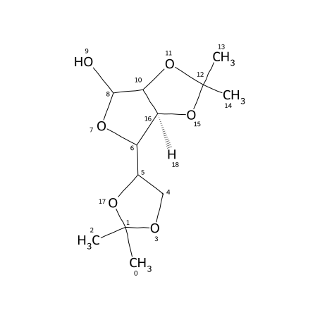 CC1(C)OCC(C2OC(O)C3OC(C)(C)O[C@H]32)O1